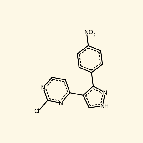 O=[N+]([O-])c1ccc(-c2n[nH]cc2-c2ccnc(Cl)n2)cc1